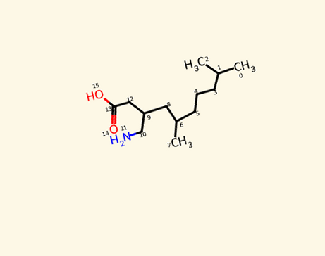 CC(C)CCCC(C)CC(CN)CC(=O)O